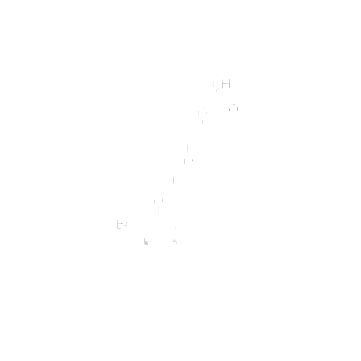 CC(=O)OCCOCCOc1ccccc1Br